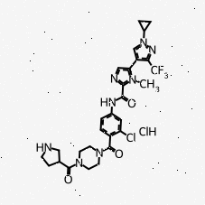 Cl.Cn1c(-c2cn(C3CC3)nc2C(F)(F)F)cnc1C(=O)Nc1ccc(C(=O)N2CCN(C(=O)C3CCNC3)CC2)c(Cl)c1